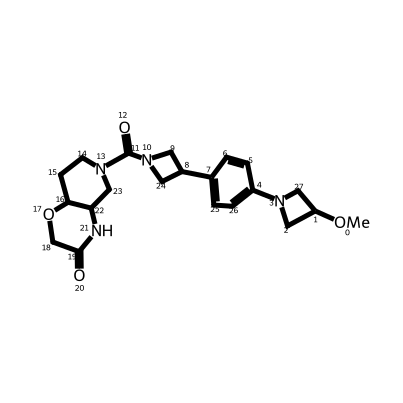 COC1CN(c2ccc(C3CN(C(=O)N4CCC5OCC(=O)NC5C4)C3)cc2)C1